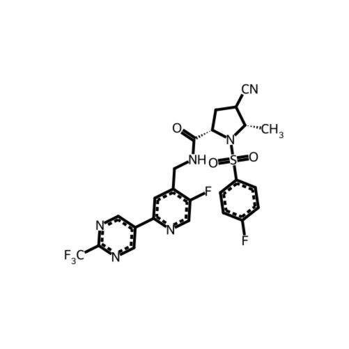 C[C@H]1C(C#N)C[C@@H](C(=O)NCc2cc(-c3cnc(C(F)(F)F)nc3)ncc2F)N1S(=O)(=O)c1ccc(F)cc1